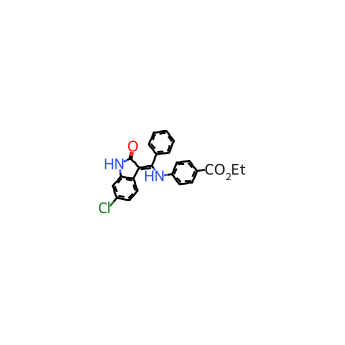 CCOC(=O)c1ccc(NC(=C2C(=O)Nc3cc(Cl)ccc32)c2ccccc2)cc1